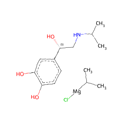 CC(C)NC[C@@H](O)c1ccc(O)c(O)c1.C[CH](C)[Mg][Cl]